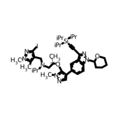 Cc1c(CN(C[C@H](C)Oc2c(-c3ccc4c(c3)c(C#C[Si](C(C)C)(C(C)C)C(C)C)nn4C3CCCCO3)cnn2C)C(C)C)c(I)nn1C